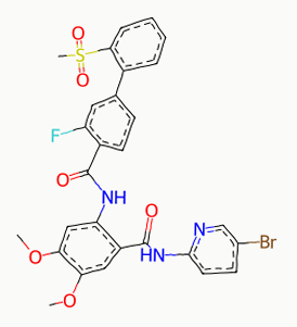 COc1cc(NC(=O)c2ccc(-c3ccccc3S(C)(=O)=O)cc2F)c(C(=O)Nc2ccc(Br)cn2)cc1OC